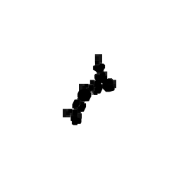 CC(C)(C)OC(=N)N1CCN(c2ccc(Nc3nccc(-c4cn(C5CNC5)nc4-c4cccnc4)n3)cc2)CC1